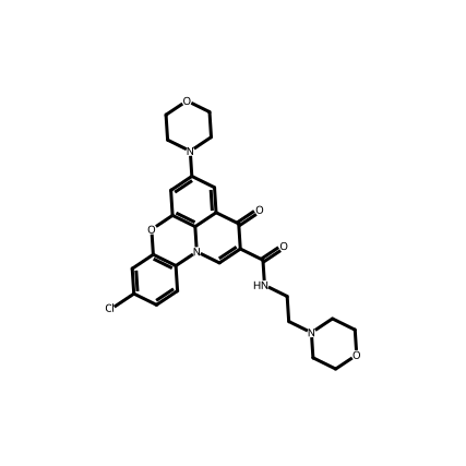 O=C(NCCN1CCOCC1)c1cn2c3c(cc(N4CCOCC4)cc3c1=O)Oc1cc(Cl)ccc1-2